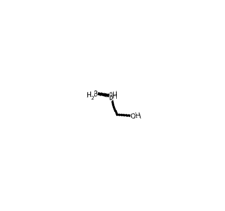 BBCO